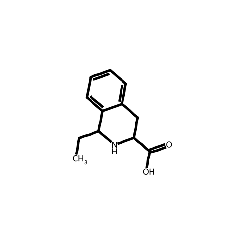 CCC1NC(C(=O)O)Cc2ccccc21